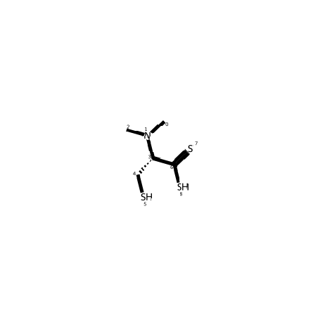 CN(C)[C@@H](CS)C(=S)S